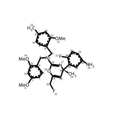 COc1ccc(CN(Cc2ccc(C)cc2OC)C2=N[C@](C)(c3cc(N)ccc3F)C=C(CF)O2)c(OC)c1